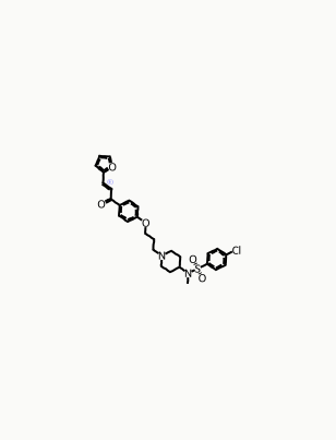 CN(C1CCN(CCCOc2ccc(C(=O)/C=C/c3ccco3)cc2)CC1)S(=O)(=O)c1ccc(Cl)cc1